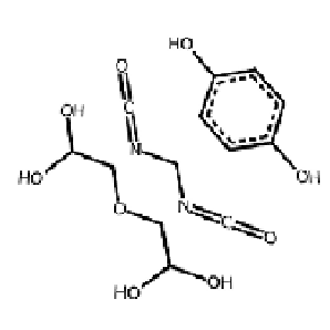 O=C=NCN=C=O.OC(O)COCC(O)O.Oc1ccc(O)cc1